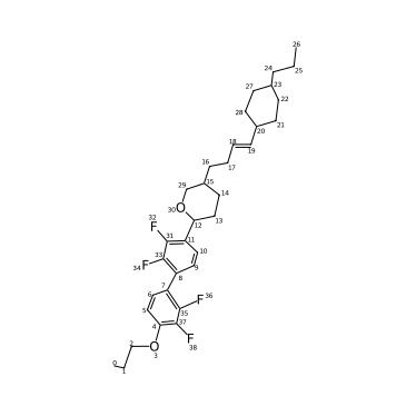 CCCOc1ccc(-c2ccc(C3CCC(CC/C=C/C4CCC(CCC)CC4)CO3)c(F)c2F)c(F)c1F